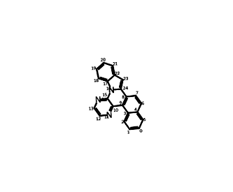 c1ccc2c(c1)ccc1c2c2nccnc2n2c3ccccc3cc12